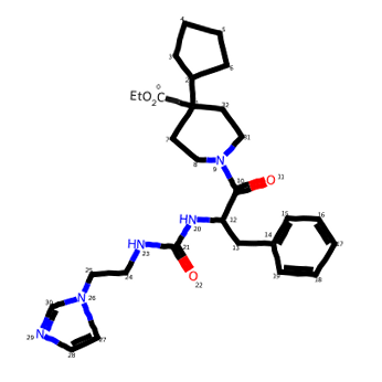 CCOC(=O)C1(C2CCCC2)CCN(C(=O)C(Cc2ccccc2)NC(=O)NCCn2ccnc2)CC1